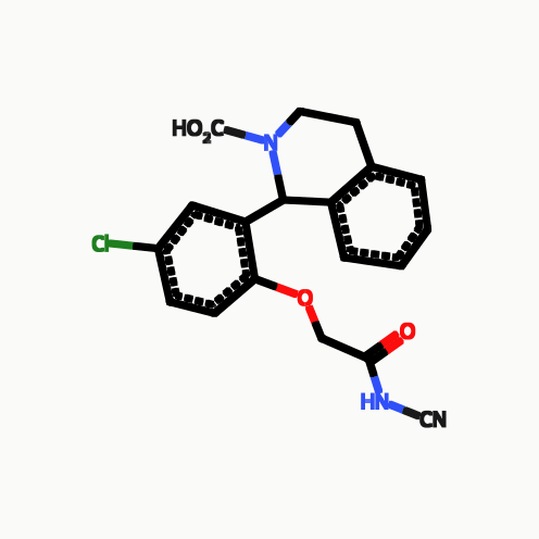 N#CNC(=O)COc1ccc(Cl)cc1C1c2ccccc2CCN1C(=O)O